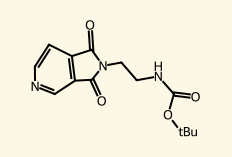 CC(C)(C)OC(=O)NCCN1C(=O)c2ccncc2C1=O